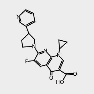 O=C(O)c1cn(C2CC2)c2nc(N3CCC(c4cccnc4)C3)c(F)cc2c1=O